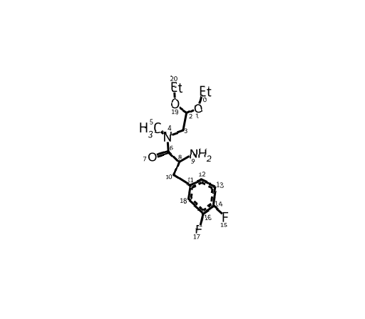 CCOC(CN(C)C(=O)C(N)Cc1ccc(F)c(F)c1)OCC